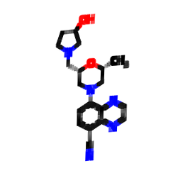 C[C@@H]1CN(c2ccc(C#N)c3nccnc23)C[C@H](CN2CC[C@@H](O)C2)O1